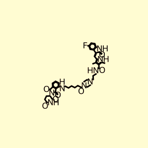 Cc1[nH]c(/C=C2\C(=O)Nc3ccc(F)cc32)c(C)c1C(=O)NCCCN1CCN(C(=O)CCCCCNc2cccc3c2C(=O)N(C2CCC(=O)NC2=O)C3=O)CC1